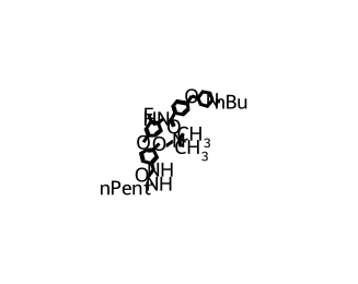 CCCCCNC(=O)Nc1ccc(Oc2ccc(NC(=O)c3ccc(OC4CCN(CCCC)CC4)cc3)c(F)c2)c(OCCN(C)C)c1